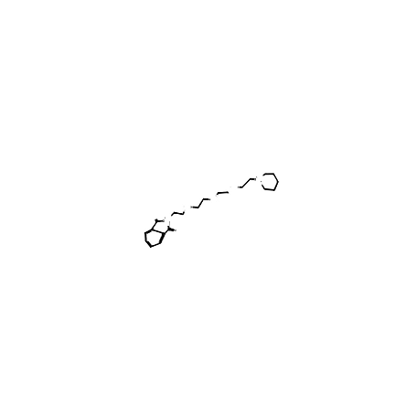 O=C1c2ccccc2C(=O)N1CCOCCOCCOCCN1CCCCC1